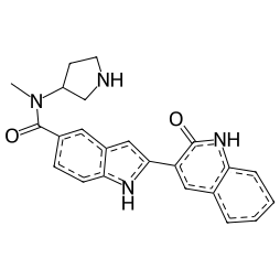 CN(C(=O)c1ccc2[nH]c(-c3cc4ccccc4[nH]c3=O)cc2c1)C1CCNC1